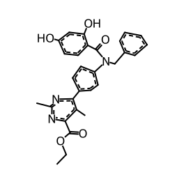 CCOC(=O)c1nc(C)nc(-c2ccc(N(Cc3ccccc3)C(=O)c3ccc(O)cc3O)cc2)c1C